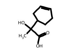 CC(O)(C(=O)O)C1CC=CCC1